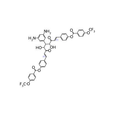 Nc1cc(N)cc(C(C(O)C(=O)/C=C/c2ccc(OC(=O)c3ccc(OC(F)(F)F)cc3)cc2)C(O)C(=O)/C=C/c2ccc(OC(=O)c3ccc(OC(F)(F)F)cc3)cc2)c1